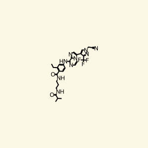 CCc1cc(Nc2nccn3c(-c4cn(CC#N)nc4C(F)(F)F)cnc23)ccc1C(=O)NCCCNC(=O)C(C)C